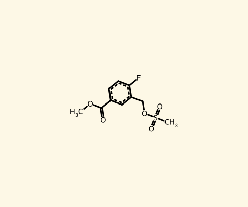 COC(=O)c1ccc(F)c(COS(C)(=O)=O)c1